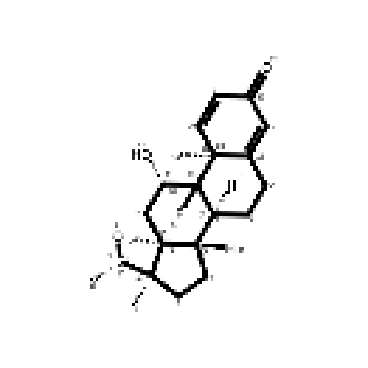 C[S@+]([O-])[C@]1(C)CC[C@H]2[C@@H]3CCC4=CC(=O)C=C[C@]4(C)C3(F)[C@@H](O)C[C@@]21C